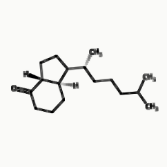 CC(C)CCC[C@@H](C)C1CC[C@H]2C(=O)CCC[C@H]12